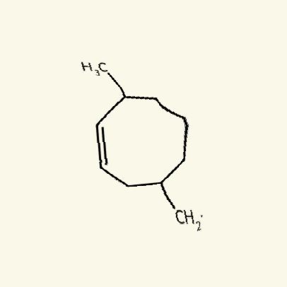 [CH2]C1CC=CC(C)CCC1